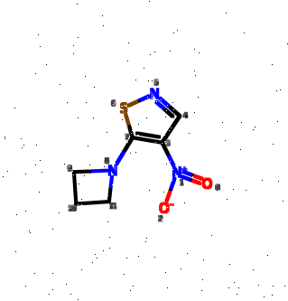 O=[N+]([O-])c1cnsc1N1CCC1